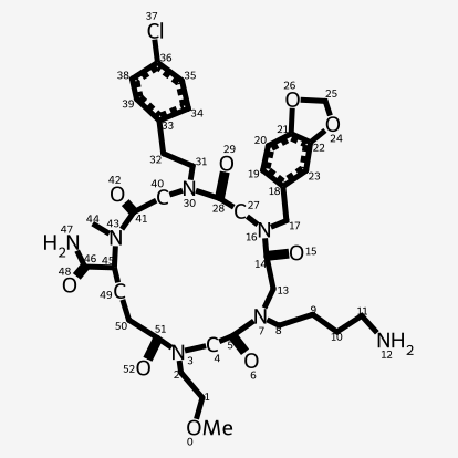 COCCN1CC(=O)N(CCCCN)CC(=O)N(Cc2ccc3c(c2)OCO3)CC(=O)N(CCc2ccc(Cl)cc2)CC(=O)N(C)C(C(N)=O)CCC1=O